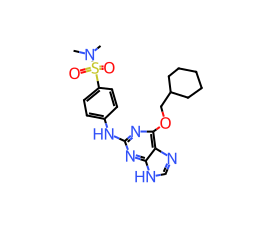 CN(C)S(=O)(=O)c1ccc(Nc2nc(OCC3CCCCC3)c3nc[nH]c3n2)cc1